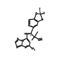 CC(C)(O)[C@@H](Nc1cc(C(F)(F)F)nc2ncnn12)c1ccc2c(c1)OC(F)(F)O2